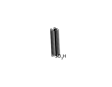 O=S(=O)(O)C(Br)(Br)C(Br)(Br)C(Br)(Br)C(Br)(Br)C(Br)(Br)C(Br)(Br)C(Br)(Br)C(Br)(Br)C(Br)(Br)C(Br)(Br)C(Br)(Br)C(Br)(Br)C(Br)(Br)C(Br)(Br)C(Br)(Br)C(Br)(Br)C(Br)(Br)C(Br)(Br)C(Br)(Br)C(Br)(Br)C(Br)(Br)Br